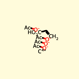 C=CC(=O)O.CC(=O)[O-].CC(=O)[O-].CC(=O)[O-].CC(=O)[O-].[C+4]